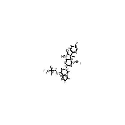 Cc1ccc(C2(C)C(=O)Nc3nc(-c4cn5ccnc5c(CCC(F)(F)C(F)(F)F)n4)nc(N)c32)cc1